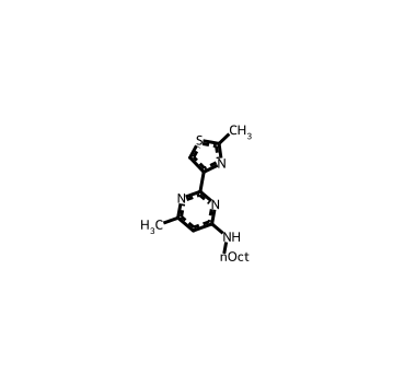 CCCCCCCCNc1cc(C)nc(-c2csc(C)n2)n1